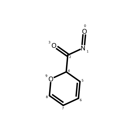 O=NC(=O)C1C=CC=CO1